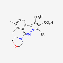 CCc1c(C(=O)O)c(C(=O)O)c2c3ccc(C)c(C)c3c(N3CCOCC3)nn12